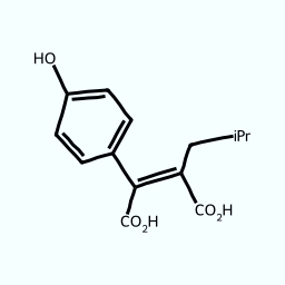 CC(C)CC(C(=O)O)=C(C(=O)O)c1ccc(O)cc1